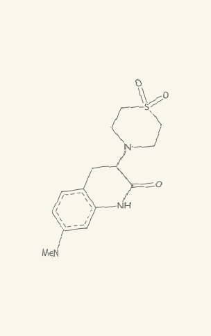 CNc1ccc2c(c1)NC(=O)C(N1CCS(=O)(=O)CC1)C2